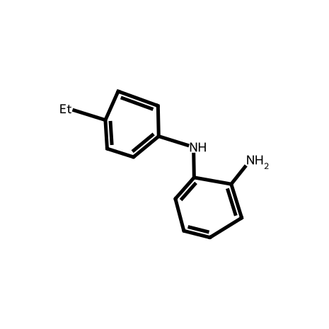 CCc1ccc(Nc2ccccc2N)cc1